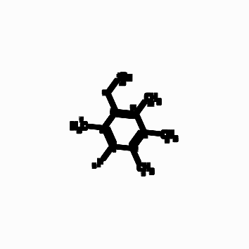 Cc1c(C)c(F)c(C)c(CC(C)(C)C)c1C